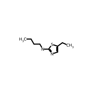 CCCC[N]c1ncc(CC)s1